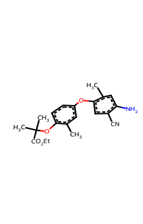 CCOC(=O)C(C)(C)Oc1ccc(Oc2cc(C#N)c(N)cc2C)cc1C